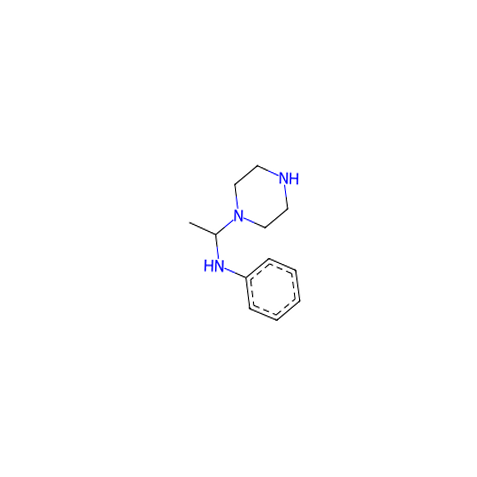 CC(Nc1ccccc1)N1CCNCC1